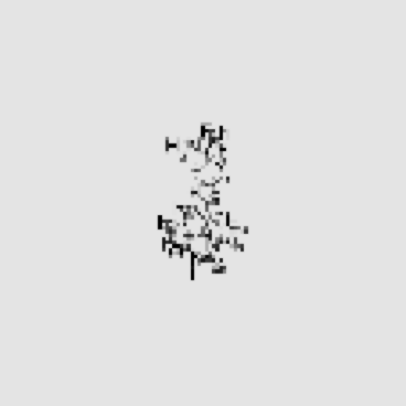 Cc1c(-c2cc3c(s2)CCC(C(N)C(F)(F)F)C3)c(F)c(C(F)F)c2c(=O)[nH]c(=O)n(C3CC3)c12